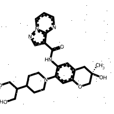 C[C@]1(O)COc2cc(N3CCC(C(CO)CO)CC3)c(NC(=O)c3cnn4cccnc34)cc2C1